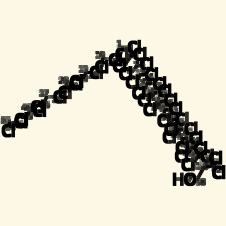 ClCCl.ClCCl.ClCCl.ClCCl.ClCCl.ClCCl.ClCCl.ClCCl.ClCCl.ClCCl.ClCCl.ClCCl.ClCCl.ClCCl.ClCCl.ClCCl.ClCCl.ClCCl.ClCCl.OCCC(Cl)Cl